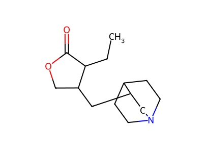 CCC1C(=O)OCC1CC1CN2CCC1CC2